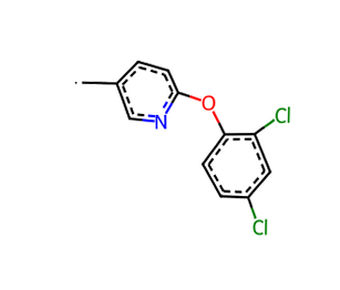 [CH2]c1ccc(Oc2ccc(Cl)cc2Cl)nc1